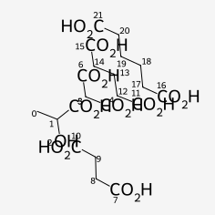 CC(O)C(=O)O.O=C(O)CC(=O)O.O=C(O)CCC(=O)O.O=C(O)CCCC(=O)O.O=C(O)CCCCC(=O)O